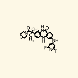 CC(C)(C(=O)N1CCOCC1)c1ccc2c(c1)NC(=O)C1=C(C=C(Nc3cc(F)nc(F)c3)CC1)N2